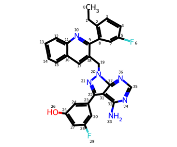 CCc1ccc(F)cc1-c1nc2ccccc2cc1Cn1nc(-c2cc(O)cc(F)c2)c2c(N)ncnc21